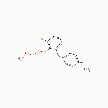 CCc1ccc(Cc2cccc(Br)c2COCOC)cc1